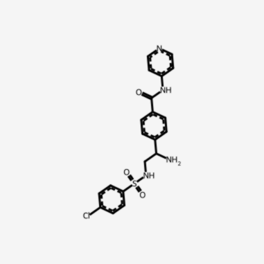 NC(CNS(=O)(=O)c1ccc(Cl)cc1)c1ccc(C(=O)Nc2ccncc2)cc1